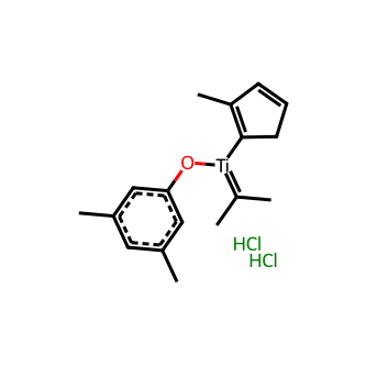 CC1=[C]([Ti]([O]c2cc(C)cc(C)c2)=[C](C)C)CC=C1.Cl.Cl